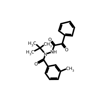 Cc1cccc(C(=O)N(NC(=O)C(=O)c2ccccc2)C(C)(C)C)c1